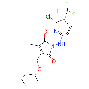 CC1=C(COC(C)CC(C)C)C(=O)N(Nc2ccc(C(F)(F)F)c(Cl)n2)C1=O